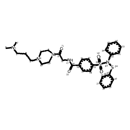 CN(C)CCCN1CCN(C(=O)CNC(=O)c2ccc(S(=O)(=O)N(Sc3ccccc3)c3ccccc3)cc2)CC1